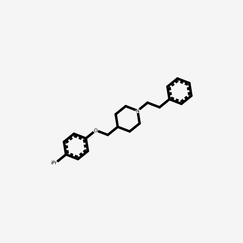 CC(C)c1ccc(OCC2CCN(CCc3ccccc3)CC2)cc1